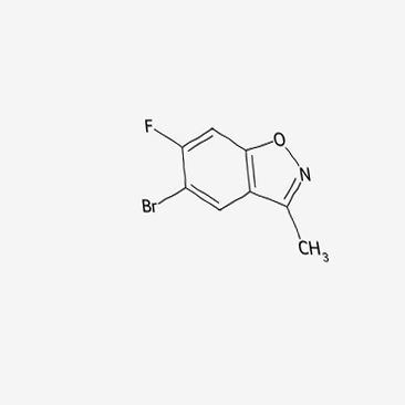 Cc1noc2cc(F)c(Br)cc12